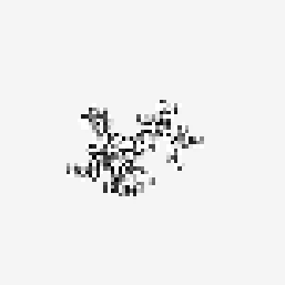 CC(=O)c1cnc(C(CC(=O)CC(SC[C@H](NC(=O)CC[C@@H](N)C(=O)O)C(=O)NCC(=O)O)c2cnc(C(C)=O)cn2)SCC(NC(=O)CC[C@H](N)C(=O)O)C(=O)NCC(=O)O)cn1